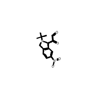 CC(C)(C)N1Cc2ccc([N+](=O)[O-])cc2C1C(=O)C=O